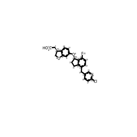 O=C(O)C[C@@H]1COc2cc(O[C@@H]3CCc4c(Cc5ccc(Cl)nc5)ccc(F)c43)ccc21